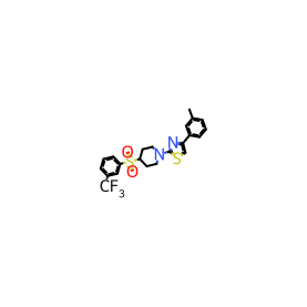 Cc1cccc(-c2csc(N3CCC(S(=O)(=O)c4cccc(C(F)(F)F)c4)CC3)n2)c1